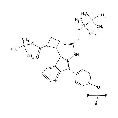 CC(C)(C)OC(=O)N1CCC1C1c2cccnc2N(c2ccc(OC(F)(F)F)cc2)N1NC(=O)CO[Si](C)(C)C(C)(C)C